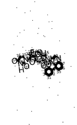 CC(C)OC(=O)[C@H](C)NP(=O)(OC[C@H]1O[C@@H](n2ccc(=O)[nH]c2=O)[C@](C)(F)[C@@H]1O)Oc1ccccc1-c1cccc2nccnc12